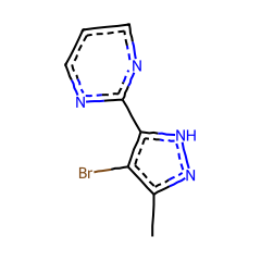 Cc1n[nH]c(-c2ncccn2)c1Br